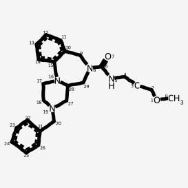 COCCCNC(=O)N1Cc2ccccc2N2CCN(Cc3ccccc3)CC2C1